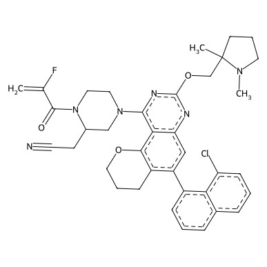 C=C(F)C(=O)N1CCN(c2nc(OCC3(C)CCCN3C)nc3cc(-c4cccc5cccc(Cl)c45)c4c(c23)OCCC4)CC1CC#N